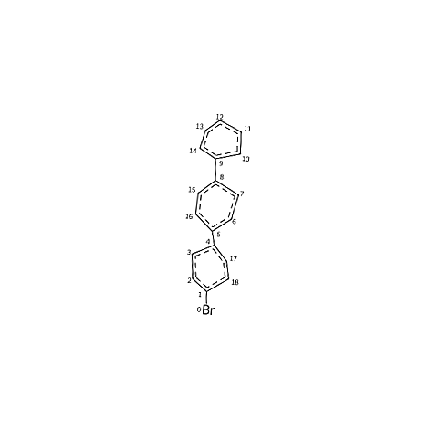 Brc1ccc(-c2ccc(-c3ccccc3)cc2)cc1